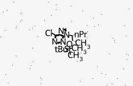 CCC[C@H]([C@H](C)O[Si](C)(C)C(C)(C)C)n1cnc2c(Cl)ncnc21